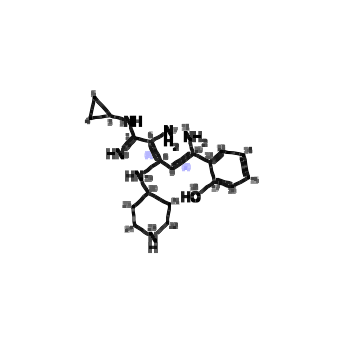 N=C(NC1CC1)/C(N)=C(/C=C(\N)c1ccccc1O)NC1CCNCC1